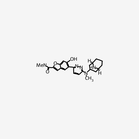 CNC(=O)c1cc2cc(-c3ccc(N(C)C4C[C@H]5CCC[C@@H](C4)N5)nn3)c(O)cc2o1